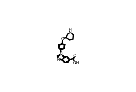 O=C(O)c1ccc2ncn(-c3ccc(OC4CCCNC4)cc3)c2c1